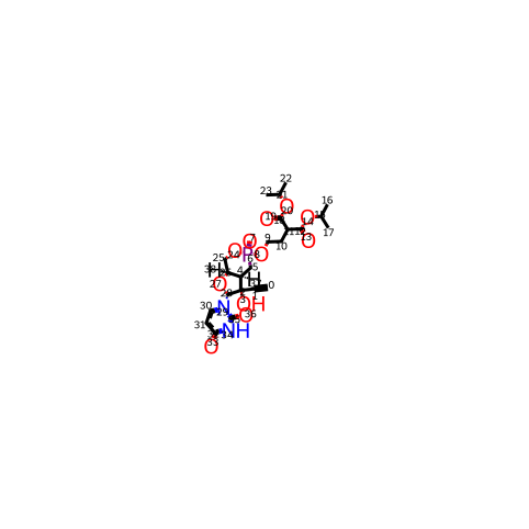 C#C[C@@]1(O)[C@@H]2CP(=O)(OCCC(C(=O)OC(C)C)C(=O)OC(C)C)OC[C@H]2O[C@H]1n1ccc(=O)[nH]c1=O